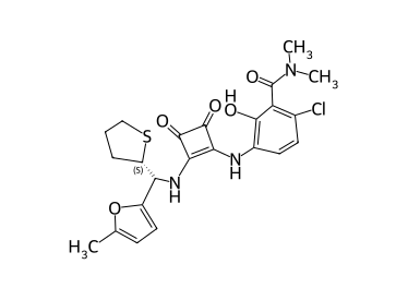 Cc1ccc(C(Nc2c(Nc3ccc(Cl)c(C(=O)N(C)C)c3O)c(=O)c2=O)[C@@H]2CCCS2)o1